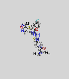 Cc1noc2nccc(Sc3cnc(Nc4nc(C5CCN(C(=O)CN(C)C)CC5)cs4)c(Oc4ccc(F)cc4)c3)c12